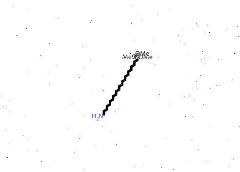 CO[Si](CCCCCCCCCCCCCCCCCCCCCCCN)(OC)OC